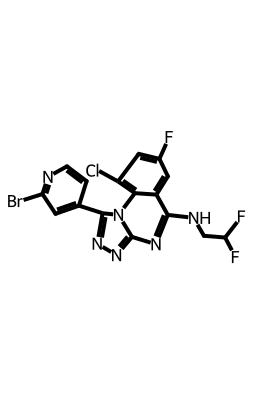 Fc1cc(Cl)c2c(c1)c(NCC(F)F)nc1nnc(-c3ccnc(Br)c3)n12